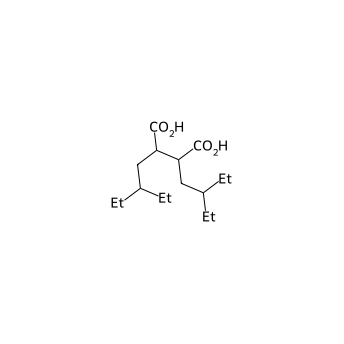 CCC(CC)CC(C(=O)O)C(CC(CC)CC)C(=O)O